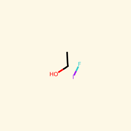 CCO.FI